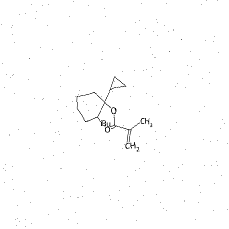 C=C(C)C(=O)OC1(C2CC2)CCCCC1C(C)CC